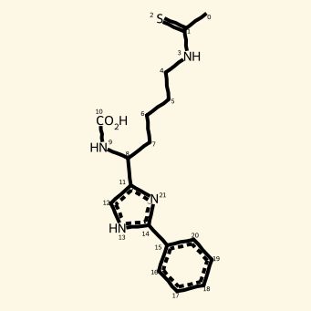 CC(=S)NCCCCC(NC(=O)O)c1c[nH]c(-c2ccccc2)n1